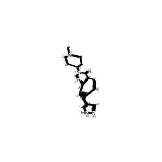 CN1CCC(n2cnc3cc(-c4cn[nH]c4)ccc3c2=O)CC1